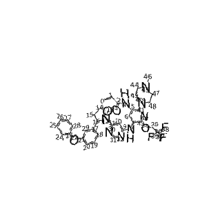 C=CC(=O)Nc1cc(Nc2cc(N3OCCC3c3cccc(Oc4ccccc4)c3)ncn2)c(OCC(F)(F)F)nc1N1CCN(C)CC1